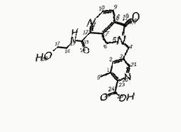 Cc1cc(CN2Cc3c(ccnc3C(=O)NCCO)C2=O)cnc1C(=O)O